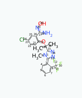 Cn1c(-c2ccccc2C(F)(F)F)nnc1C(C)(C)Oc1ccc(Cl)cc1/C(N)=N/O